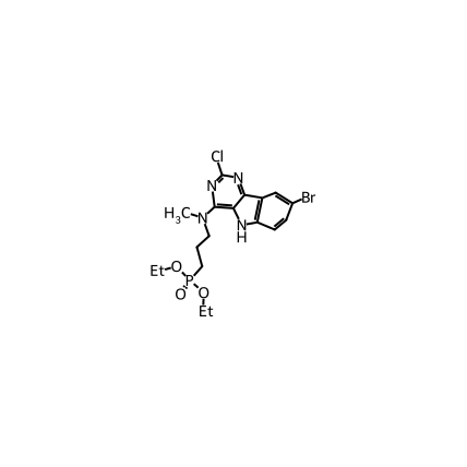 CCOP(=O)(CCCN(C)c1nc(Cl)nc2c1[nH]c1ccc(Br)cc12)OCC